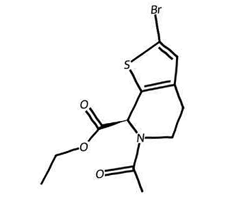 CCOC(=O)[C@H]1c2sc(Br)cc2CCN1C(C)=O